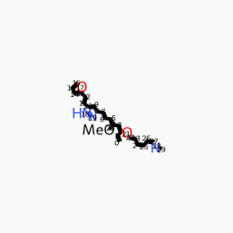 C=C\C(=C/C(=C/C=C/c1cc(/C=C/c2ccco2)[nH]n1)OC)OCC/C=C\C=C/N=C